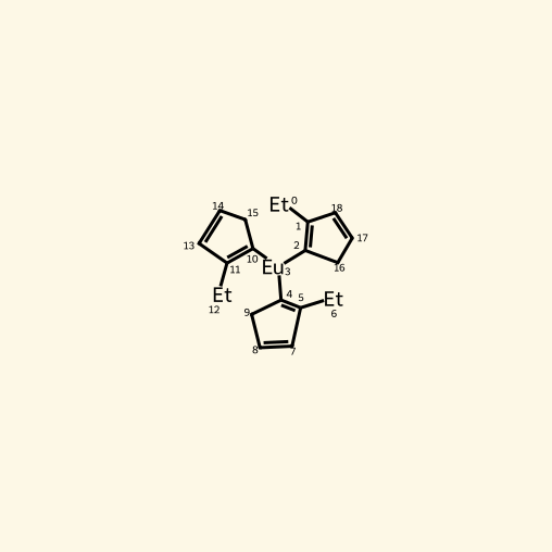 CCC1=[C]([Eu]([C]2=C(CC)C=CC2)[C]2=C(CC)C=CC2)CC=C1